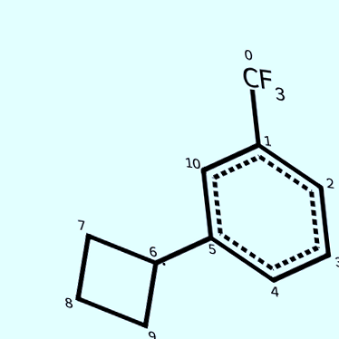 FC(F)(F)c1cccc([C]2CCC2)c1